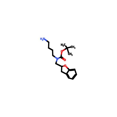 CC(C)(C)OC(=O)N(CCCCN)CC1Cc2ccccc2O1